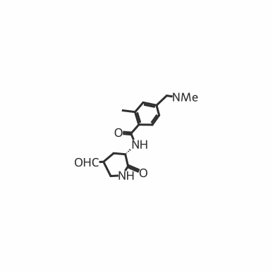 CNCc1ccc(C(=O)N[C@H]2CC(C=O)CNC2=O)c(C)c1